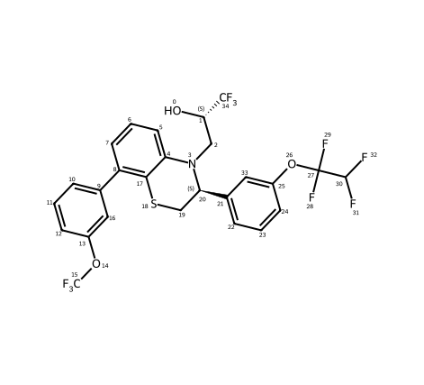 O[C@@H](CN1c2cccc(-c3cccc(OC(F)(F)F)c3)c2SC[C@@H]1c1cccc(OC(F)(F)C(F)F)c1)C(F)(F)F